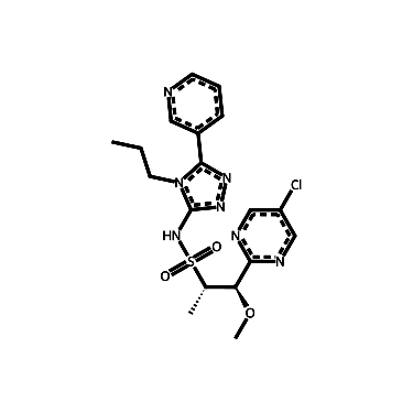 CCCn1c(NS(=O)(=O)[C@@H](C)[C@H](OC)c2ncc(Cl)cn2)nnc1-c1cccnc1